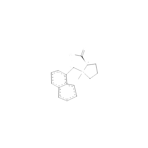 C[C@@H](c1cccc2ccccc12)[N+]1(C)CCC[C@@H]1C(=O)O